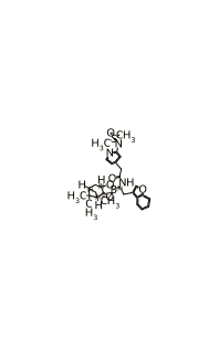 CC1(C)[C@@H]2C[C@H]3OB([C@H](Cc4coc5ccccc45)NC(=O)Cc4ccnc(N=S(C)(C)=O)c4)O[C@@]3(C)[C@H]1C2